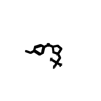 CCc1ccc(OC2CCN(CC(F)(F)F)C2)cc1